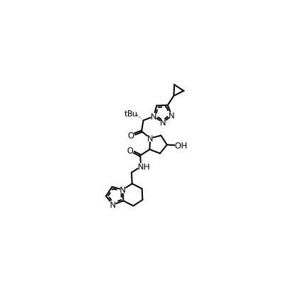 CC(C)(C)[C@@H](C(=O)N1CC(O)CC1C(=O)NCC1CCCc2nccn21)n1cc(C2CC2)nn1